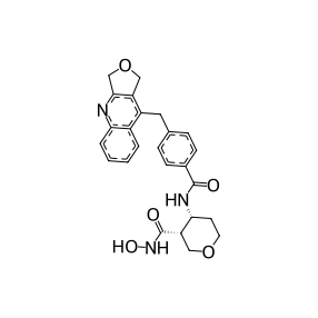 O=C(N[C@@H]1CCOC[C@@H]1C(=O)NO)c1ccc(Cc2c3c(nc4ccccc24)COC3)cc1